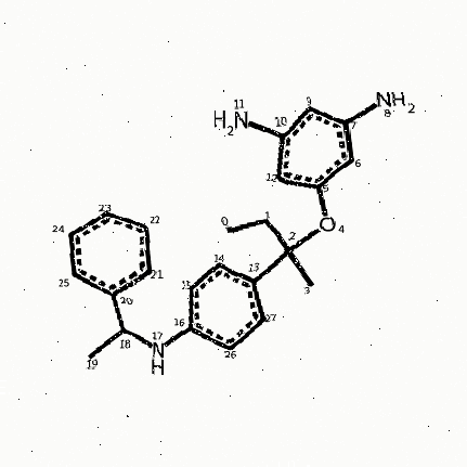 CCC(C)(Oc1cc(N)cc(N)c1)c1ccc(NC(C)c2ccccc2)cc1